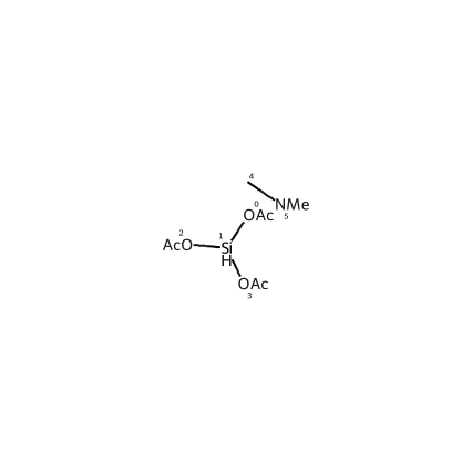 CC(=O)O[SiH](OC(C)=O)OC(C)=O.CNC